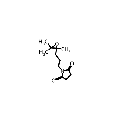 CC1(C)OC1(C)CCCN1C(=O)CCC1=O